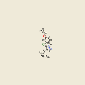 CC(=O)N[C@@H](C)/C=C/c1cnn(Cc2ccc(OCC3CC3)cc2Cl)c1